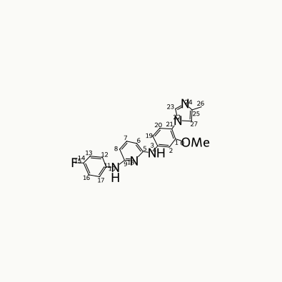 COc1cc(Nc2cccc(Nc3ccc(F)cc3)n2)ccc1-n1cnc(C)c1